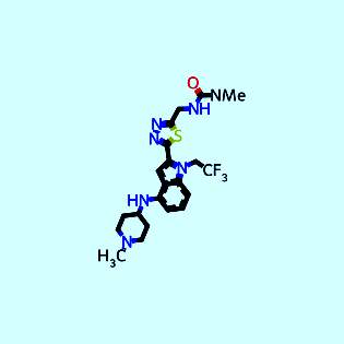 CNC(=O)NCc1nnc(-c2cc3c(NC4CCN(C)CC4)cccc3n2CC(F)(F)F)s1